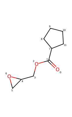 O=C(OCC1CO1)C1CCCC1